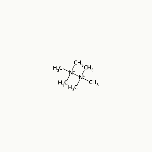 C[N+](C)(C)[N+](C)(C)C